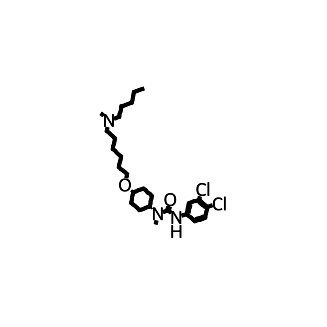 CCCCCN(C)CCCCCCO[C@H]1CC[C@H](N(C)C(=O)Nc2ccc(Cl)c(Cl)c2)CC1